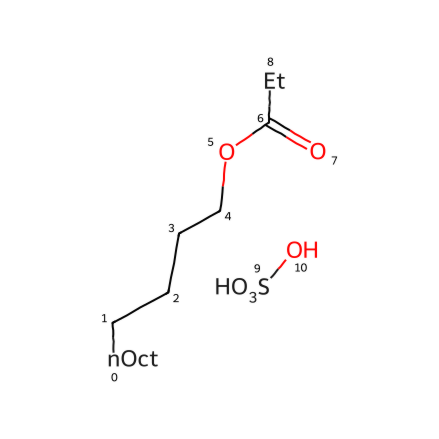 CCCCCCCCCCCCOC(=O)CC.O=S(=O)(O)O